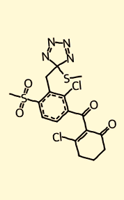 CSC1(Cc2c(S(C)(=O)=O)ccc(C(=O)C3=C(Cl)CCCC3=O)c2Cl)N=NN=N1